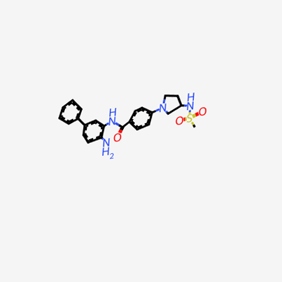 CS(=O)(=O)NC1CCN(c2ccc(C(=O)Nc3cc(-c4ccccc4)ccc3N)cc2)C1